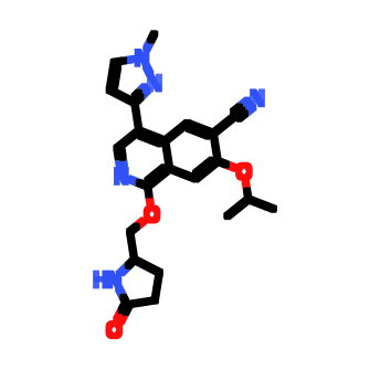 CC(C)Oc1cc2c(OCC3CCC(=O)N3)ncc(-c3ccn(C)n3)c2cc1C#N